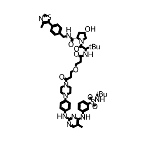 Cc1cnc(Nc2ccc(N3CCN(C(=O)CCOCCC(=O)NC(C(=O)N4C[C@H](O)C[C@H]4C(=O)NCc4ccc(-c5scnc5C)cc4)C(C)(C)C)CC3)cc2)nc1Nc1cccc(S(=O)(=O)NC(C)(C)C)c1